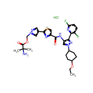 CCOC1CCC(n2cc(NC(=O)c3csc(-c4cnn(COC(=O)C(C)(C)N)c4)n3)c(-c3nc(F)ccc3F)n2)CC1.Cl